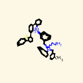 CC1C=CC=C(CN(c2ccccc2)N(N)Cc2cccc(Nc3ccccc3-c3cccc(-c4cccc5c4sc4ccccc45)c3)c2)C1